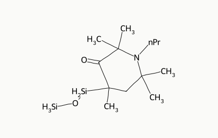 CCCN1C(C)(C)CC(C)([SiH2]O[SiH3])C(=O)C1(C)C